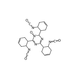 O=C=NC1CC=CCC1C1=NC(C2CC=CCC2N=C=O)[N+](=O)C(C2CC=CCC2N=C=O)=N1